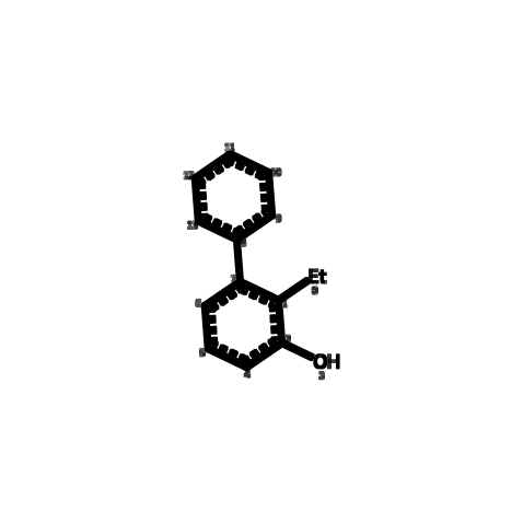 CCc1c(O)cccc1-c1ccccc1